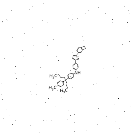 CCCCC(CCCC)(c1ccc(C)cc1)c1ccc(Nc2ccc(-c3ccc(-c4ccc5c(c4)CC5)s3)cc2)cc1